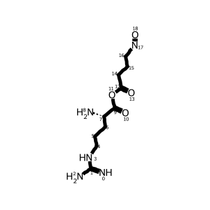 N=C(N)NCCC[C@H](N)C(=O)OC(=O)CCCN=O